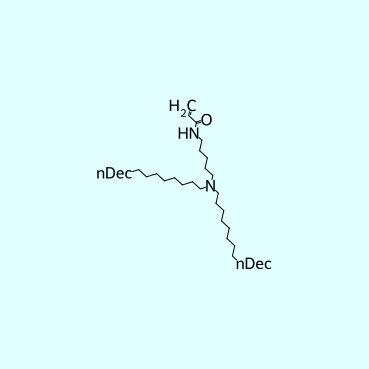 C=CC(=O)NCCCCCN(CCCCCCCCCCCCCCCCCC)CCCCCCCCCCCCCCCCCC